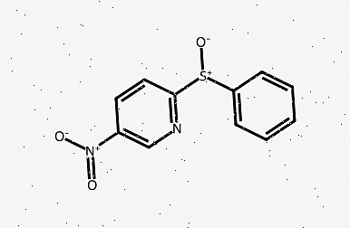 O=[N+]([O-])c1ccc([S+]([O-])c2ccccc2)nc1